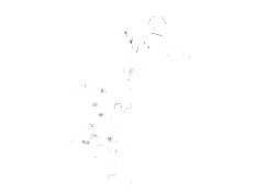 C[C@H](CCC(=O)NCC(N(N=[N+]=[N-])c1ccccc1)S(=O)(=O)O)[C@H]1CC[C@H]2[C@@H]3[C@H](O)CC4C[C@H](O)CC[C@]4(C)[C@H]3C[C@H](O)[C@]12C